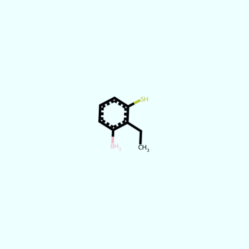 Bc1cccc(S)c1CC